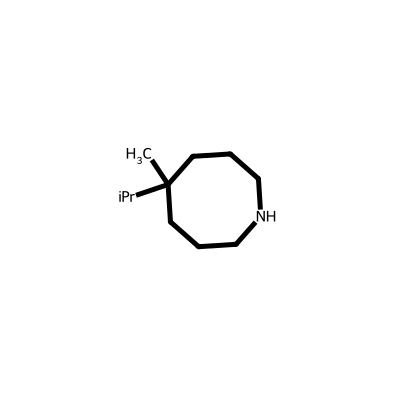 CC(C)C1(C)CCCNCCC1